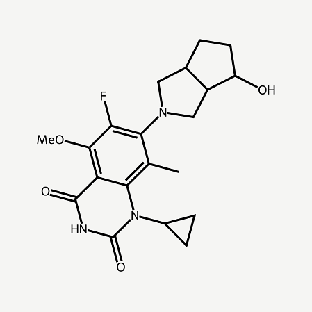 COc1c(F)c(N2CC3CCC(O)C3C2)c(C)c2c1c(=O)[nH]c(=O)n2C1CC1